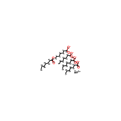 CCCCCCC(=O)[O-].CCCCCCC(=O)[O-].CCCCCCC(=O)[O-].CCCCCCC(=O)[O-].CCCCCCC(=O)[O-].[Ta+5]